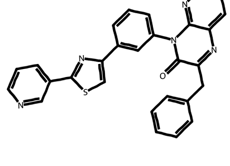 O=c1c(Cc2ccccc2)nc2cccnc2n1-c1cccc(-c2csc(-c3cccnc3)n2)c1